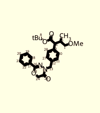 COCC(C)C(C(=O)OC(C)(C)C)c1ccc(CN2N=C(c3ccccc3)OCC2=O)cc1